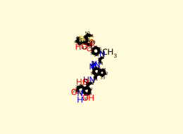 CN(CCCn1nnc2cc(CNC[C@H](O)c3ccc(O)c4[nH]c(=O)ccc34)c3c(c21)CCC3)[C@H]1CC[C@H](OC(=O)C(O)(c2cccs2)c2cccs2)CC1